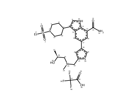 CCS(=O)(=O)N1CCC(c2c[nH]c3c(C(N)=O)cc(-c4csc(CN(C)C[C@H](C)O)c4)cc23)CC1.O=C(O)C(F)(F)F